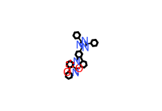 CN(C(=O)c1c(C=O)cccc1-n1c2ccccc2c2cc(-c3nc(-c4ccccc4)nc(-c4ccccc4)n3)ccc21)c1ccccc1-c1ccccc1